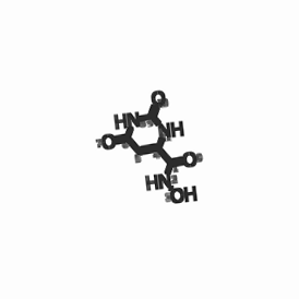 O=C(NO)c1cc(=O)[nH]c(=O)[nH]1